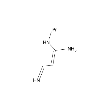 CC(C)N/C(N)=C\C=N